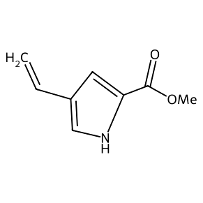 C=Cc1c[nH]c(C(=O)OC)c1